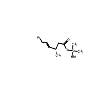 CC(C)C/C=C/[C@@H](C)CC(=O)O[Si](C)(C)C(C)(C)C